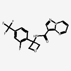 O=C(NC1(c2ccc(C(F)(F)F)cc2F)COC1)c1cnn2cccnc12